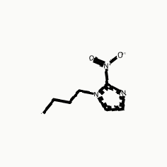 [CH2]CCCn1ccnc1[N+](=O)[O-]